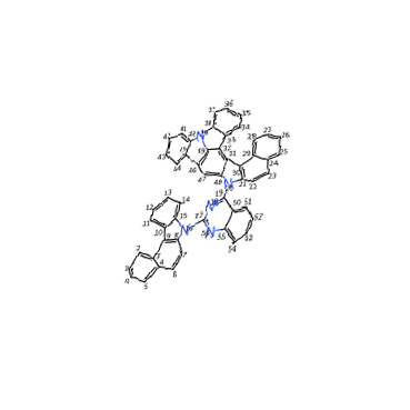 c1ccc2c(c1)ccc1c2c2ccccc2n1-c1nc(-n2c3ccc4ccccc4c3c3c4c5ccccc5n5c6ccccc6c(cc32)c45)c2ccccc2n1